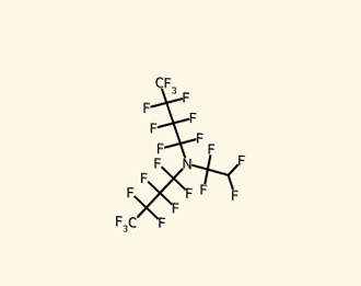 FC(F)C(F)(F)N(C(F)(F)C(F)(F)C(F)(F)C(F)(F)F)C(F)(F)C(F)(F)C(F)(F)C(F)(F)F